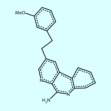 COc1cccc(CCc2cnc3c(N)nc4ccccc4c3c2)c1